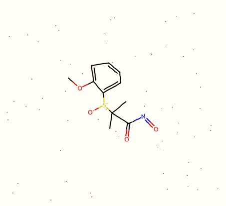 COc1ccccc1[S+]([O-])C(C)(C)C(=O)N=O